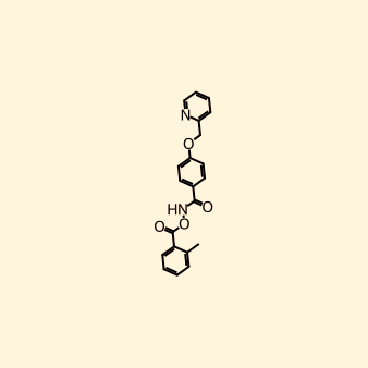 Cc1ccccc1C(=O)ONC(=O)c1ccc(OCc2ccccn2)cc1